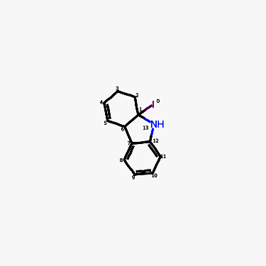 IC12CCC=CC1c1ccccc1N2